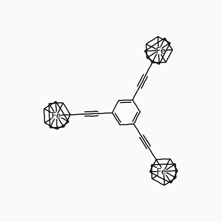 C(#C[C]12[CH]3[CH]4[CH]5[CH]1[Fe]45321678[CH]2[CH]1[CH]6[CH]7[CH]28)c1cc(C#C[C]23[CH]4[CH]5[CH]6[CH]2[Fe]56432789[CH]3[CH]2[CH]7[CH]8[CH]39)cc(C#C[C]23[CH]4[CH]5[CH]6[CH]2[Fe]56432789[CH]3[CH]2[CH]7[CH]8[CH]39)c1